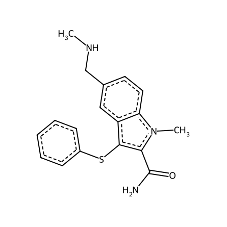 CNCc1ccc2c(c1)c(Sc1ccccc1)c(C(N)=O)n2C